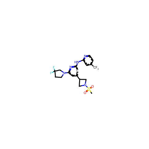 CS(=O)(=O)N1CC(c2cc(Nc3cc(C(F)(F)F)ccn3)nc(N3CCC(F)(F)C3)c2)C1